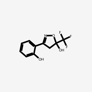 Oc1ccccc1C1=NOC(O)(C(F)(F)F)C1